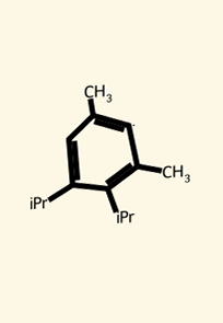 Cc1[c]c(C)c(C(C)C)c(C(C)C)c1